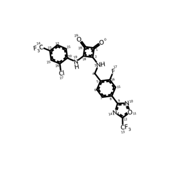 O=c1c(NCc2ccc(-c3noc(C(F)(F)F)n3)cc2F)c(Nc2ccc(C(F)(F)F)cc2Cl)c1=O